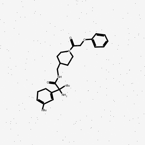 CCCCC1=CCCC(C(N)(CCCC)C(=O)NCC2CCN(C(=O)COc3ccccc3)CC2)=C1